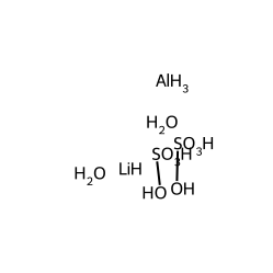 O.O.O=S(=O)(O)O.O=S(=O)(O)O.[AlH3].[LiH]